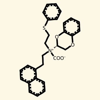 O=C([O-])[N+](CCSc1ccccc1)(CCc1cccc2ccccc12)[C@H]1COc2ccccc2O1